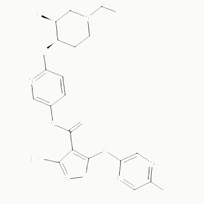 Cc1nsc(Nc2cnc(C(F)(F)F)cn2)c1C(=O)Nc1ccc(O[C@@H]2CCN(CC(F)(F)F)C[C@@H]2F)nc1